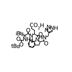 CC[C@H](C)[C@H](NC(=O)OC(C)(C)C)C(=O)NC(CCC(=O)O)C(=O)N1c2ncccc2CC1C(=O)NCc1c[nH]nn1